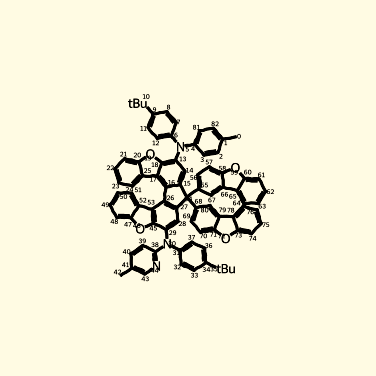 Cc1ccc(N(c2ccc(C(C)(C)C)cc2)c2cc3c(c4c2oc2ccccc24)-c2c(cc(N(c4ccc(C(C)(C)C)cc4)c4ccc(C)cn4)c4oc5ccccc5c24)C3(c2ccc3oc4ccccc4c3c2)c2ccc3oc4ccccc4c3c2)cc1